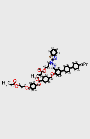 C=CC(=O)OCCCOc1ccc(OC(=O)C2CCC(COc3ccc(C4CCC(C5CCC(CCC)CC5)CC4)cc3/C=N/N(CCCOC(=O)C=C)c3nc4ccccc4s3)CC2)cc1